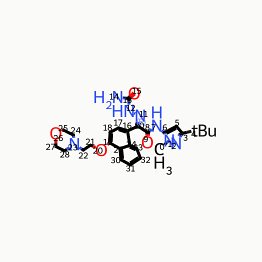 Cn1nc(C(C)(C)C)cc1NC(=O)/C(=N/NC(N)=O)c1ccc(OCCN2CCOCC2)c2ccccc12